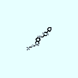 C[Si](C)(C)CCOCN1Cc2ccc(NCc3cnc(C4=CCCCC4)cn3)cc2C=N1